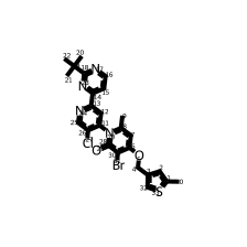 Cc1cc(COc2cc(C)n(-c3cc(-c4ccnc(C(C)(C)C)n4)ncc3Cl)c(=O)c2Br)cs1